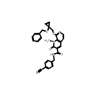 Cn1c(=O)c(C(=O)NCc2ccc(C#N)cc2)cc2ccnc(OCC3(SCc4ccccc4)CC3)c21